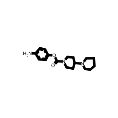 Nc1ccc(OC(=O)N2CCC(N3CCCCC3)CC2)cc1